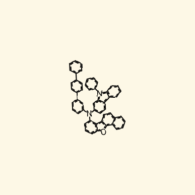 c1ccc(-c2ccc(-c3cccc(N(c4ccc5c6ccccc6n(-c6ccccc6)c5c4)c4cccc5oc6c7ccccc7ccc6c45)c3)cc2)cc1